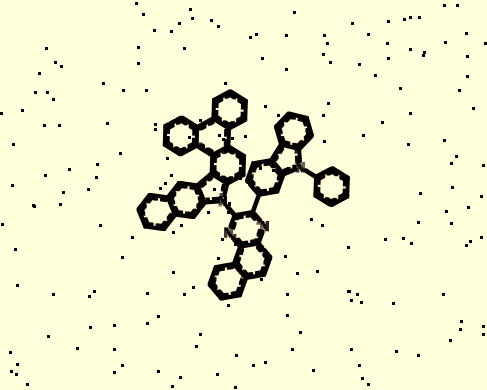 c1ccc(-n2c3ccccc3c3ccc(-c4nc5ccc6ccccc6c5nc4-n4c5cc6ccccc6cc5c5c6c7ccccc7c7ccccc7c6ccc54)cc32)cc1